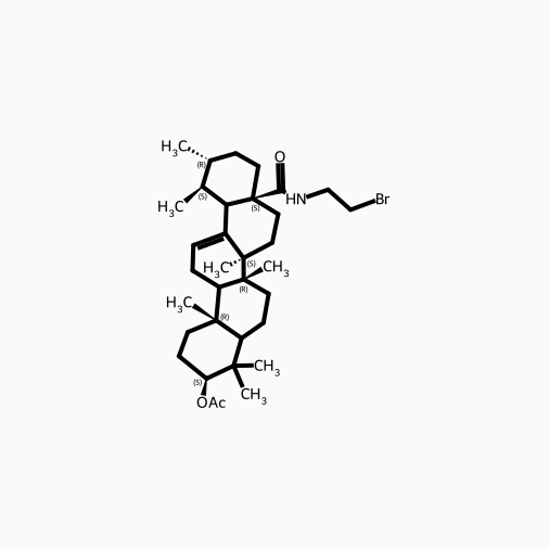 CC(=O)O[C@H]1CC[C@@]2(C)C(CC[C@]3(C)C2CC=C2C4[C@@H](C)[C@H](C)CC[C@]4(C(=O)NCCBr)CC[C@]23C)C1(C)C